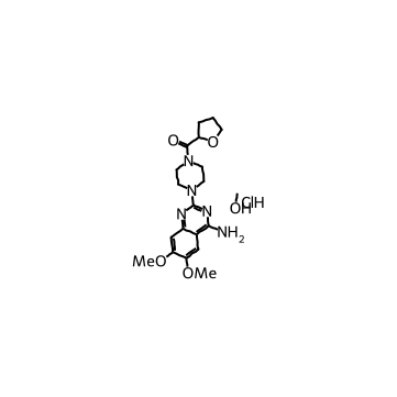 CO.COc1cc2nc(N3CCN(C(=O)C4CCCO4)CC3)nc(N)c2cc1OC.Cl